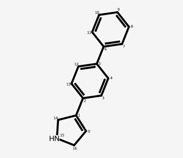 C1=C(c2ccc(-c3ccccc3)cc2)CNC1